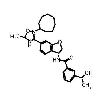 CC1NC(c2ccc3c(c2)OC[C@H]3NC(=O)c2cccc([C@H](C)O)c2)N(C2CCCCCCC2)O1